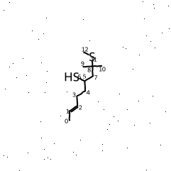 CC=CCCC(S)CC(C)(C)SC